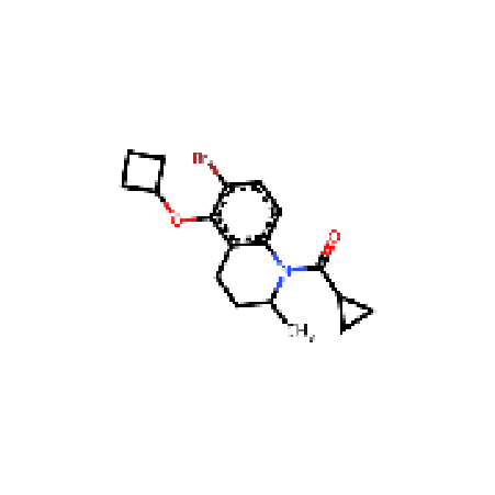 CC1CCc2c(ccc(Br)c2OC2CCC2)N1C(=O)C1CC1